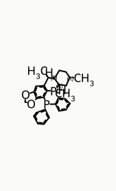 CC1c2cc3c(c(P(c4ccccc4)c4ccccc4)c2P(C)[C@@H]2C[C@H](C)CC[C@@H]12)OCO3